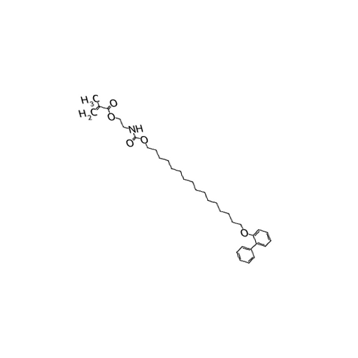 C=C(C)C(=O)OCCNC(=O)OCCCCCCCCCCCCCCCCOc1ccccc1-c1ccccc1